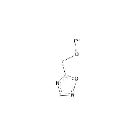 CC(C)OCc1ncno1